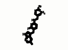 C=C(/N=C\C(=C/N)CNc1ccc(Cc2c[nH]c3ncc(C)cc23)c(F)n1)C(C)C